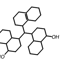 OC1CCC(C(C2CCCC3=C2CCCC3)C2CCC(O)C3CCCCC32)C2CCCCC12